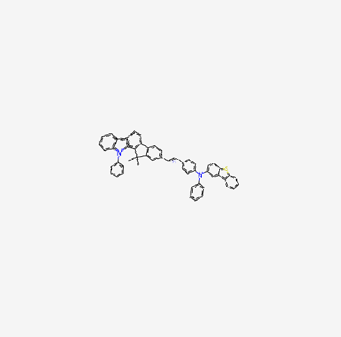 CC1(C)c2cc(/C=C/c3ccc(N(c4ccccc4)c4ccc5sc6ccccc6c5c4)cc3)ccc2-c2ccc3c4ccccc4n(-c4ccccc4)c3c21